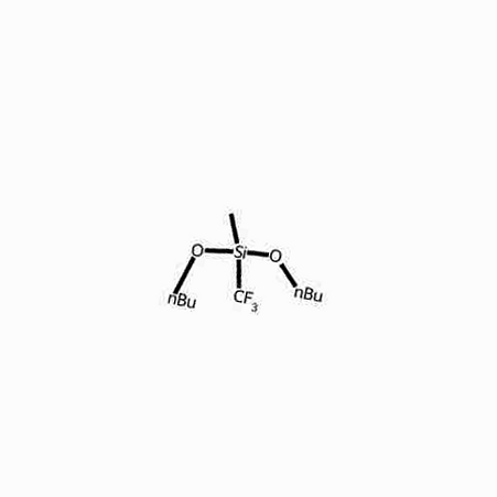 CCCCO[Si](C)(OCCCC)C(F)(F)F